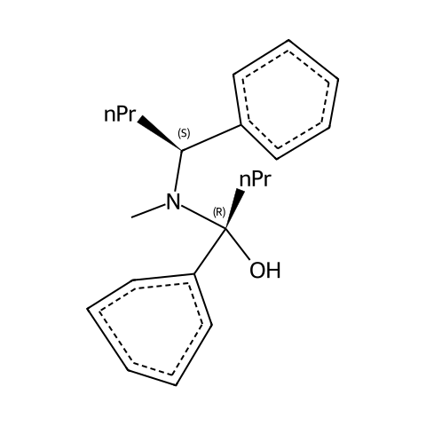 CCC[C@@H](c1ccccc1)N(C)[C@@](O)(CCC)c1ccccc1